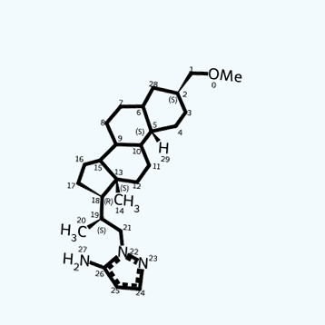 COC[C@H]1CC[C@H]2C(CCC3C2CC[C@@]2(C)C3CC[C@@H]2[C@H](C)Cn2nccc2N)C1